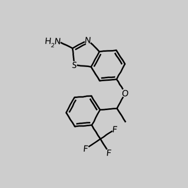 CC(Oc1ccc2nc(N)sc2c1)c1ccccc1C(F)(F)F